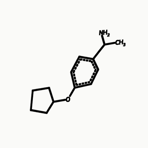 CC(N)c1ccc(OC2CCCC2)cc1